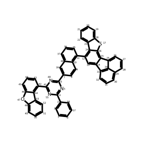 c1ccc(-c2nc(-c3ccc4c(-c5cc6c(c7sc8ccccc8c57)-c5cccc7cccc-6c57)cccc4c3)nc(-c3cccc4oc5ccccc5c34)n2)cc1